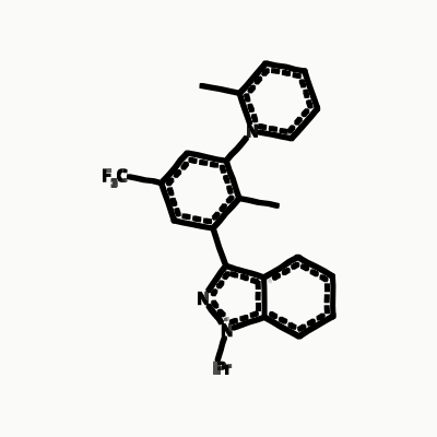 Cc1c(-c2nn(C(C)C)c3ccccc23)cc(C(F)(F)F)cc1-[n+]1ccccc1C